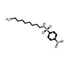 NCCCCCCCCNS(=O)(=O)c1ccc([N+](=O)[O-])cc1